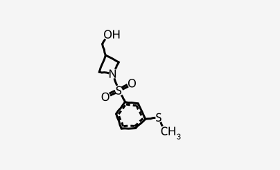 CSc1cccc(S(=O)(=O)N2CC(CO)C2)c1